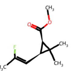 COC(=O)[C@@H]1[C@H](/C=C(/C)F)C1(C)C